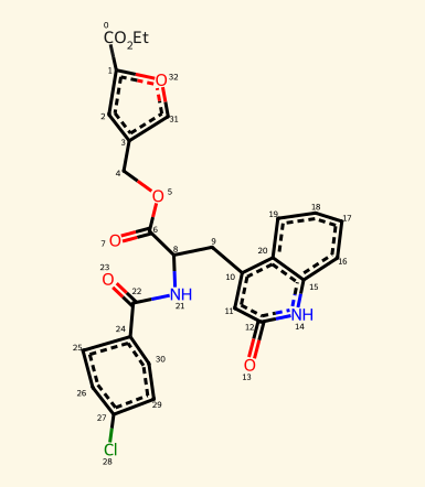 CCOC(=O)c1cc(COC(=O)C(Cc2cc(=O)[nH]c3ccccc23)NC(=O)c2ccc(Cl)cc2)co1